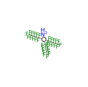 Nc1cc(C(F)(F)C(F)(F)C(F)(F)C(F)(F)C(F)(F)F)c(C(F)(F)C(F)(F)C(F)(F)C(F)(F)C(F)(F)F)cc1C(F)(F)C(F)(F)C(F)(F)C(F)(F)C(F)(F)F